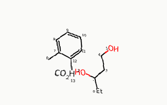 CCC(O)CCO.Cc1ccccc1C(=O)O